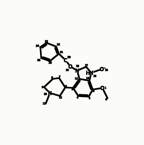 COc1ccc(C2CCCN(C)C2)c2c1[NH+]([O-])CN2OCc1ccccc1